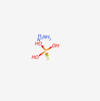 N.N.OP(O)(O)=S